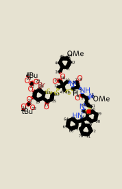 CON=C(C(=O)NC1C(=O)N2CC(CSc3cc(=O)c4cc(OC(=O)OC(C)(C)C)c(OC(=O)OC(C)(C)C)c(Br)c4s3)(C(=O)OCc3ccc(OC)cc3)CS[C@H]12)c1csc(NC(c2ccccc2)(c2ccccc2)c2ccccc2)n1